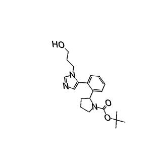 CC(C)(C)OC(=O)N1CCCC1c1ccccc1-c1cncn1CCCO